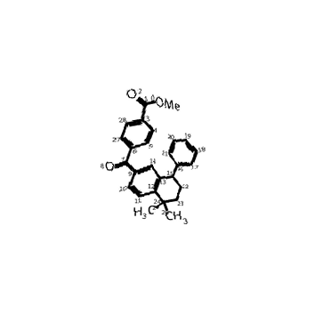 COC(=O)c1ccc(C(=O)c2ccc3c(c2)C(c2ccccc2)CCC3(C)C)cc1